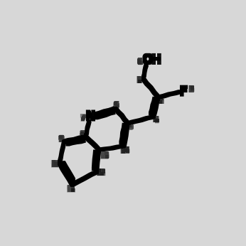 OC/C(F)=C\c1cnc2ccccc2c1